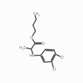 CCCCOC(=O)C(C)Nc1ccc(Cl)c(Cl)c1